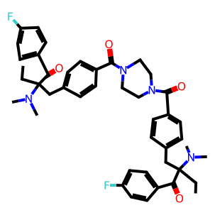 CCC(Cc1ccc(C(=O)N2CCN(C(=O)c3ccc(CC(CC)(C(=O)c4ccc(F)cc4)N(C)C)cc3)CC2)cc1)(C(=O)c1ccc(F)cc1)N(C)C